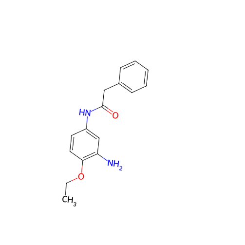 CCOc1ccc(NC(=O)Cc2ccccc2)cc1N